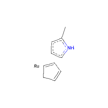 C1=CCC=C1.Cc1ccc[nH]1.[Ru]